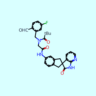 CC(C)(C)C(=O)N(CC(=O)Nc1ccc2c(c1)CC1(C2)C(=O)Nc2ncccc21)Cc1cc(F)ccc1C=O